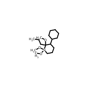 CCCC1(OC)C(C2CCCCC2)CCC[Si]1(OC)OC